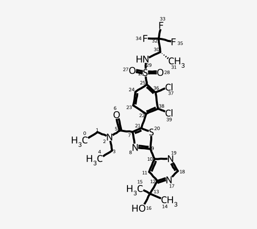 CCN(CC)C(=O)c1nc(-c2cc(C(C)(C)O)ncn2)sc1-c1ccc(S(=O)(=O)N[C@@H](C)C(F)(F)F)c(Cl)c1Cl